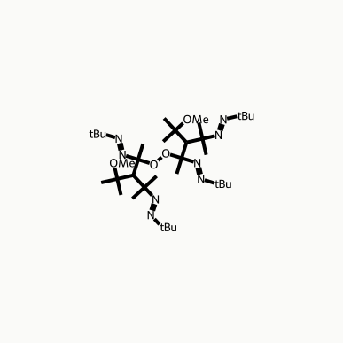 COC(C)(C)C(C(C)(C)N=NC(C)(C)C)C(C)(N=NC(C)(C)C)OOC(C)(N=NC(C)(C)C)C(C(C)(C)N=NC(C)(C)C)C(C)(C)OC